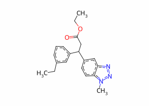 CCOC(=O)CC(c1cccc(CC)c1)c1ccc2c(c1)nnn2C